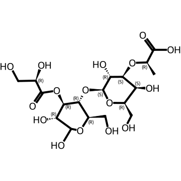 C[C@@H](O[C@H]1[C@@H](O)[C@@H](CO)O[C@@H](O[C@H]2[C@H](OC(=O)[C@H](O)CO)[C@@H](O)C(O)O[C@@H]2CO)[C@@H]1O)C(=O)O